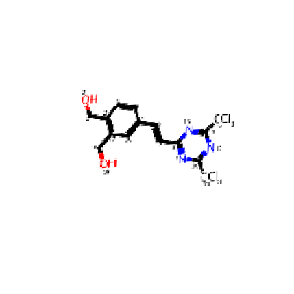 OCc1ccc(C=Cc2nc(C(Cl)(Cl)Cl)nc(C(Cl)(Cl)Cl)n2)cc1CO